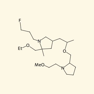 CCOCC1(C)CC(CC(C)OCC2CCCN2CCOC)CN1CCCF